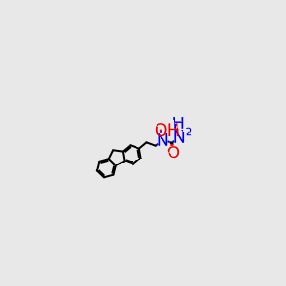 NC(=O)N(O)CCc1ccc2c(c1)Cc1ccccc1-2